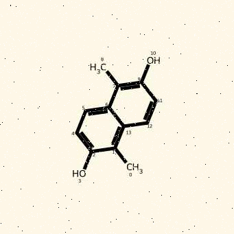 Cc1c(O)ccc2c(C)c(O)ccc12